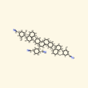 Cc1cc(C#N)cc(C)c1-c1ccc2c3c(cccc13)-c1cc3c(ccc4c5cc6c(cc5c(-c5cc(C#N)ccc5C#N)cc34)-c3ccc(-c4c(C)cc(C#N)cc4C)c4cccc-6c34)cc1-2